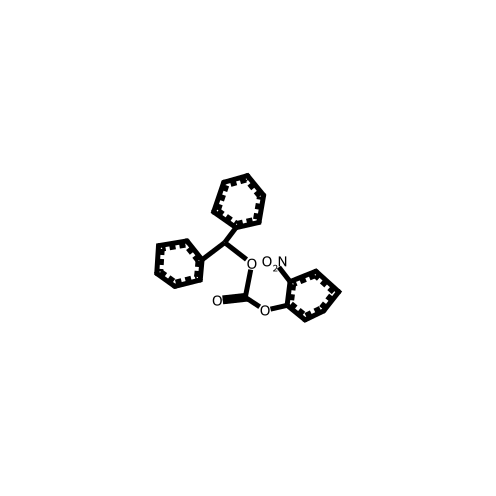 O=C(Oc1ccccc1[N+](=O)[O-])OC(c1ccccc1)c1ccccc1